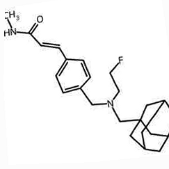 CNC(=O)/C=C/c1ccc(CN(CCF)CC23CC4CC(CC(C4)C2)C3)cc1